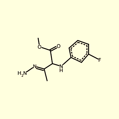 COC(=O)C(Nc1cccc(F)c1)/C(C)=N/N